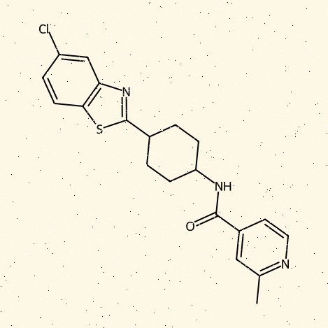 Cc1cc(C(=O)NC2CCC(c3nc4cc(Cl)ccc4s3)CC2)ccn1